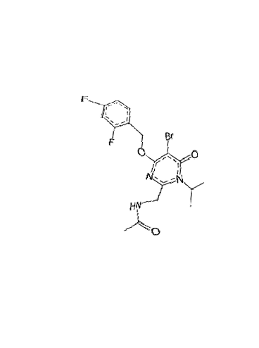 CC(=O)NCc1nc(OCc2ccc(F)cc2F)c(Br)c(=O)n1C(C)C